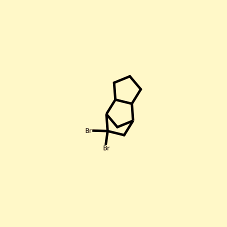 BrC1(Br)CC2CC1C1CCCC21